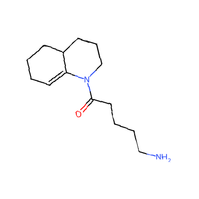 NCCCCC(=O)N1CCCC2CCCC=C21